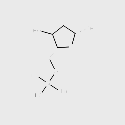 C[C@H]1CC(O)[C@@H](CO[Si](C)(C)C(C)(C)C)O1